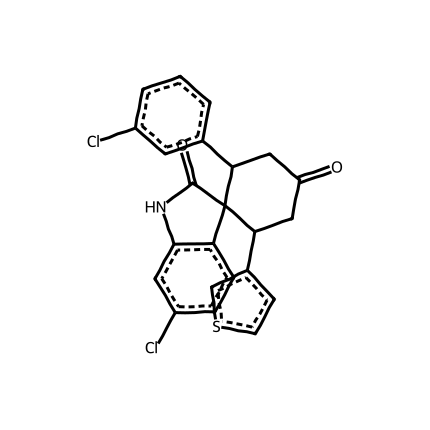 O=C1CC(c2ccsc2)C2(C(=O)Nc3cc(Cl)ccc32)C(c2cccc(Cl)c2)C1